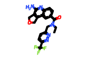 CCN(Cc1ccc(C(F)(F)F)nn1)C(=O)c1ccc2nc(N)c3c(c2c1)COC3